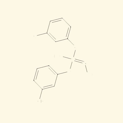 CN=P(C)(Oc1cccc(C)c1)Oc1cccc(C)c1